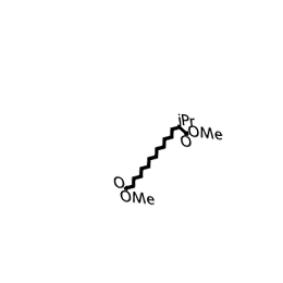 COC(=O)CCCCCCCCCCCCC(C(=O)OC)C(C)C